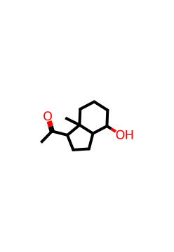 CC(=O)C1CCC2C(O)CCCC12C